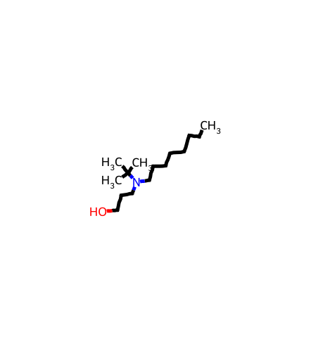 CCCCCCCCN(CCCO)C(C)(C)C